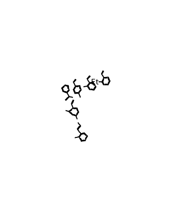 C=C(C)c1ccccc1.C=Cc1ccc(C)cc1.C=Cc1ccc(C)cc1C.C=Cc1ccccc1C.C=Cc1ccccc1CC.CC=Cc1ccccc1C